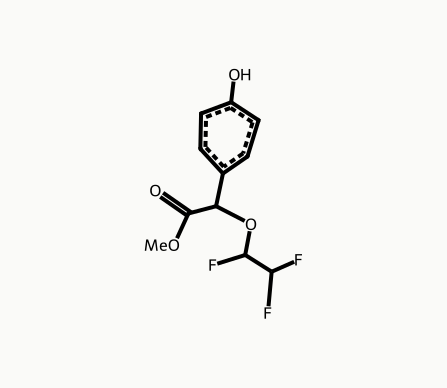 COC(=O)C(OC(F)C(F)F)c1ccc(O)cc1